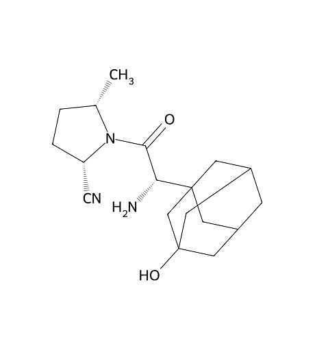 C[C@H]1CC[C@@H](C#N)N1C(=O)[C@@H](N)C12CC3CC(CC(O)(C3)C1)C2